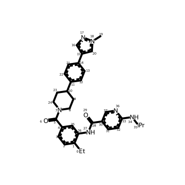 CCc1ccc(C(=O)N2CCC(c3ccc(-c4cnn(C)c4)cc3)CC2)cc1NC(=O)c1ccc(NC(C)C)nc1